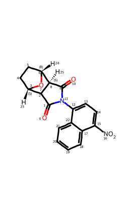 O=C1C2[C@@H]3CC[C@@H](O3)[C@H]2C(=O)N1c1ccc([N+](=O)[O-])c2ccccc12